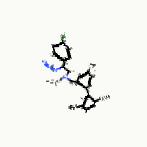 COc1ccc(C(C)C)cc1-c1ccc(C(F)(F)F)cc1CN(CC(N=[N+]=[N-])c1ccc(Cl)cc1)C(=O)O